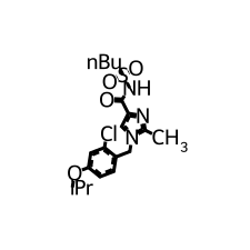 CCCCS(=O)(=O)NC(=O)c1cn(Cc2ccc(OC(C)C)cc2Cl)c(C)n1